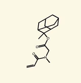 C=CC(=O)N(C)CC(=O)OC1(C)C2CC3CC(C2)CC1C3